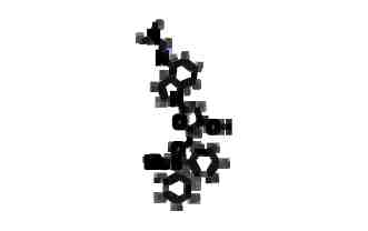 CN(C)/C=N/c1cccc2c1ccn2[C@H]1C[C@H](O)[C@@H](CO[Si](c2ccccc2)(c2ccccc2)C(C)(C)C)O1